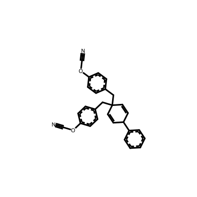 N#COc1ccc(CC2(Cc3ccc(OC#N)cc3)C=CC(c3ccccc3)C=C2)cc1